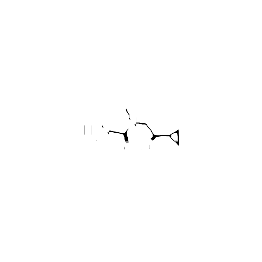 CN(CC(=O)C1CC1)C(N)=O